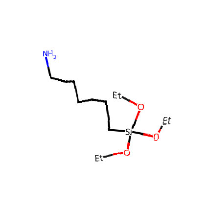 CCO[Si](CCCCCN)(OCC)OCC